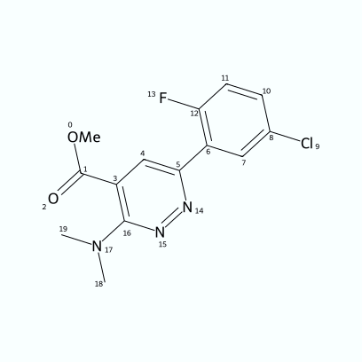 COC(=O)c1cc(-c2cc(Cl)ccc2F)nnc1N(C)C